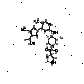 CC(O)c1sc(-c2nc(N[C@H]3CCN(S(=O)(=O)c4c[nH]cn4)C[C@H]3C)ncc2C(F)(F)F)cc1C#N